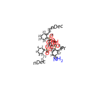 CCCCCCCCCCCCc1ccccc1S(=O)(=O)[O][Ti]([OH])([O]S(=O)(=O)c1ccccc1CCCCCCCCCCCC)[O]S(=O)(=O)c1ccc(N)cc1C(C)C